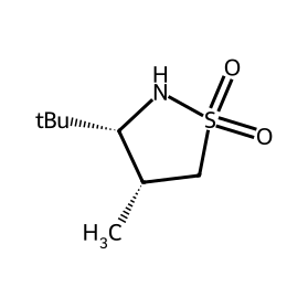 C[C@H]1CS(=O)(=O)N[C@H]1C(C)(C)C